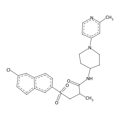 Cc1cc(N2CCC(NC(=O)C(C)CS(=O)(=O)c3ccc4cc(Cl)ccc4c3)CC2)ccn1